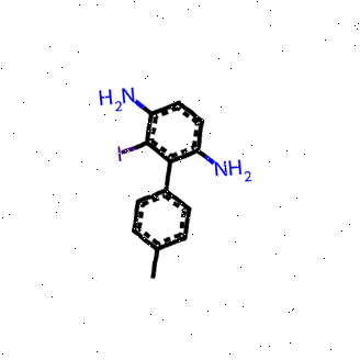 Cc1ccc(-c2c(N)ccc(N)c2I)cc1